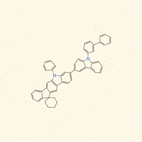 c1ccc(-c2cccc(-n3c4ccccc4c4cc(-c5ccc6c7cc8c(cc7n(-c7ccccc7)c6c5)-c5ccccc5C85CCCCC5)ccc43)c2)cc1